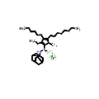 CCCCCCCCC1=C(CCCCCC)C(CC)=[C]([Ti]([SiH3])[NH]C23CC4CC(CC(C4)C2)C3)C1C.Cl.Cl